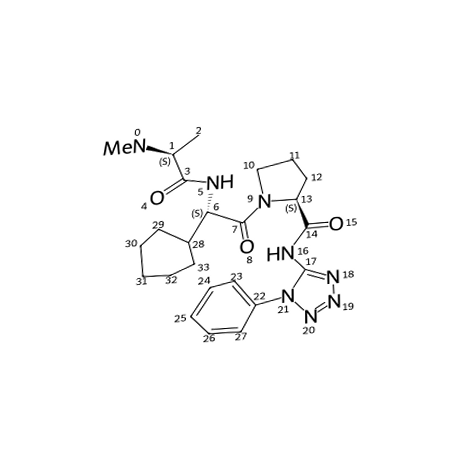 CN[C@@H](C)C(=O)N[C@H](C(=O)N1CCC[C@H]1C(=O)Nc1nnnn1-c1ccccc1)C1CCCCC1